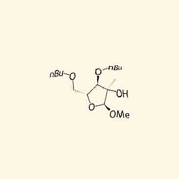 CCCCOC[C@H]1O[C@H](OC)[C@](C)(O)[C@@H]1OCCCC